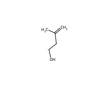 C=C(C)C[CH]O